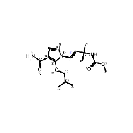 COC(=O)NC(C)(C)/C=C/n1ncc(C(N)=O)c1OCC(C)C